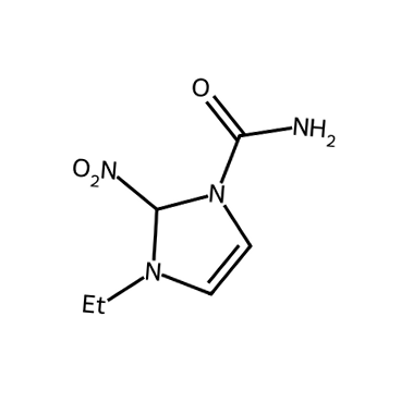 [CH2]CN1C=CN(C(N)=O)C1[N+](=O)[O-]